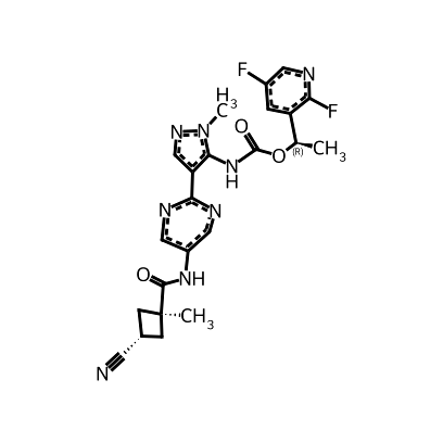 C[C@@H](OC(=O)Nc1c(-c2ncc(NC(=O)[C@]3(C)C[C@@H](C#N)C3)cn2)cnn1C)c1cc(F)cnc1F